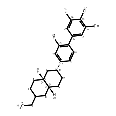 CCC1CC[C@@H]2C[C@H](c3ccc(-c4cc(F)c(Cl)c(F)c4)c(F)c3)CC[C@@H]2C1